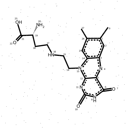 Cc1cc2nc3c(=O)[nH]c(=O)nc-3n(CCNCC[C@@H](N)C(=O)O)c2cc1C